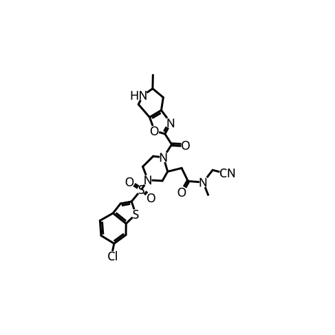 CC1Cc2nc(C(=O)N3CCN(S(=O)(=O)c4cc5ccc(Cl)cc5s4)CC3CC(=O)N(C)CC#N)oc2CN1